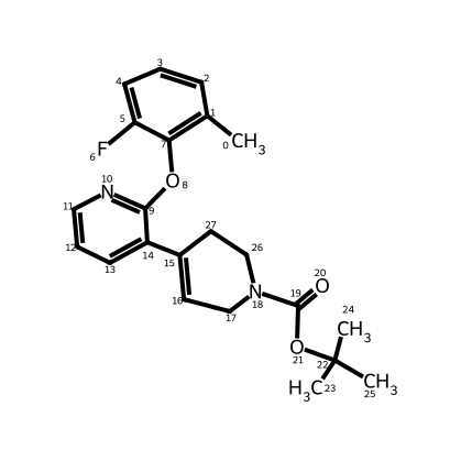 Cc1cccc(F)c1Oc1ncccc1C1=CCN(C(=O)OC(C)(C)C)CC1